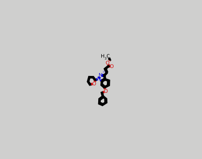 CCOC(=O)/C=C/c1nn(C2CCCCO2)c2cc(OCc3ccccc3)ccc12